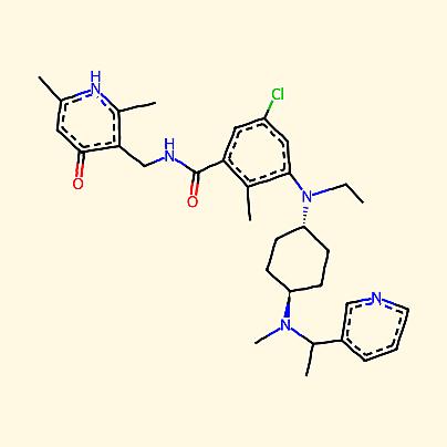 CCN(c1cc(Cl)cc(C(=O)NCc2c(C)[nH]c(C)cc2=O)c1C)[C@H]1CC[C@H](N(C)C(C)c2cccnc2)CC1